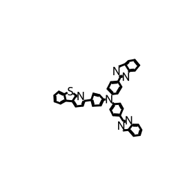 c1ccc2nc(-c3ccc(N(c4ccc(-c5ccc6c(n5)sc5ccccc56)cc4)c4ccc(-c5ncc6ccccc6n5)cc4)cc3)ncc2c1